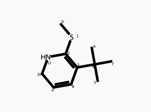 CSC1=C(C(C)(C)C)C=CCN1